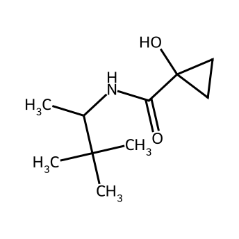 CC(NC(=O)C1(O)CC1)C(C)(C)C